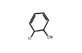 CCC1C=CC=CC1C#N